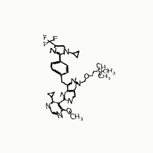 COc1ncnc(C2CC2)c1-c1ncc2c(n1)c(Cc1ccc(-c3nc(C(F)(F)F)cn3C3CC3)cc1)nn2COCC[Si](C)(C)C